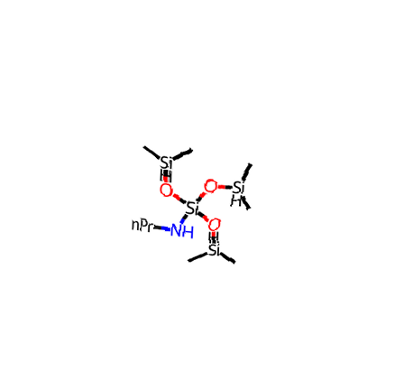 CCCN[Si](O[SiH](C)C)(O[SiH](C)C)O[SiH](C)C